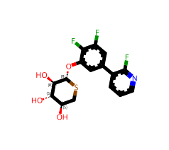 O[C@@H]1[C@@H](O)[C@H](Oc2cc(-c3cccnc3F)cc(F)c2F)SC[C@H]1O